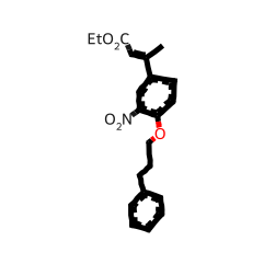 CCOC(=O)C=C(C)c1ccc(OCCCc2ccccc2)c([N+](=O)[O-])c1